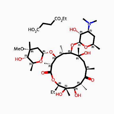 CCOC(=O)CCC(=O)O.CC[C@H]1OC(=O)[C@H](C)[C@@H](O[C@H]2C[C@@](C)(OC)[C@@H](O)[C@H](C)O2)[C@H](C)[C@@H](O[C@@H]2O[C@H](C)C[C@H](N(C)C)[C@H]2O)[C@](C)(O)C[C@@H](C)C(=O)[C@H](C)[C@@H](O)[C@]1(C)O